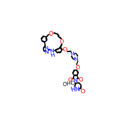 O=CC1(N2C(=O)c3ccc(OCCN4CCN(CCOc5ccc6cc5COC/C=C/COCc5cccc(c5)-c5ccnc(n5)N6)CC4)cc3C2=O)CCC(=O)NC1